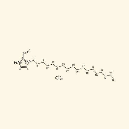 C=Cc1[nH]cc[n+]1CCCCCCCCCCCCCCCCCC.[Cl-]